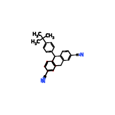 CC(C)(C)c1ccc(C23c4ccc(C#N)cc4C(c4cc(C#N)ccc42)c2cc(C#N)ccc23)cc1